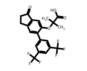 CC(C)(Oc1cc2c(cc1-c1cc(C(F)(F)F)cc(C(F)(F)F)c1)CCC2=O)C(=O)O